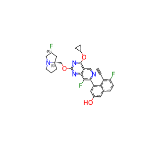 C#Cc1c(F)ccc2cc(O)cc(-c3ncc4c(OC5CC5)nc(OC[C@@]56CCCN5C[C@H](F)C6)nc4c3F)c12